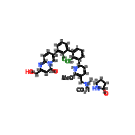 COc1nc(-c2cccc(-c3cccc(-c4ccc5nc(CO)cc(=O)n5c4)c3Cl)c2Cl)ccc1CN(C[C@@H]1CCC(=O)N1)C(=O)O